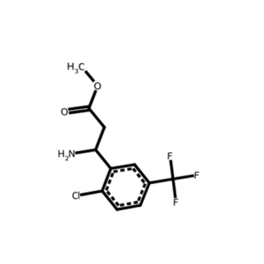 COC(=O)CC(N)c1cc(C(F)(F)F)ccc1Cl